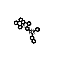 c1ccc(-c2nc(-c3ccc(-n4c5cccc6c5c5c7c(cccc7cc(-c7ccccc7)c54)-c4ccccc4-6)cc3)nc(-c3ccc4ccccc4c3)n2)cc1